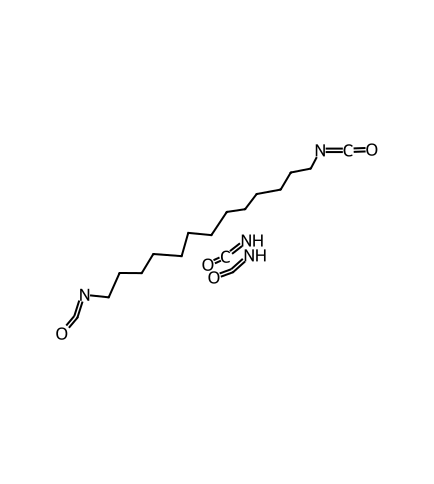 N=C=O.N=C=O.O=C=NCCCCCCCCCCCCCN=C=O